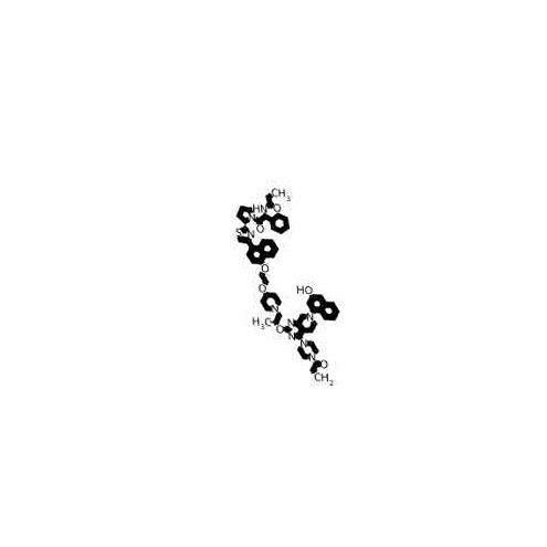 C=CC(=O)N1CCN(c2nc(O[C@H](C)CN3CCC(OCCOc4ccc(-c5csc([C@@H]6CCCN6C(=O)[C@@H](NC(=O)[CH]C)C6CCCCC6)n5)c5ccccc45)CC3)nc3c2CCN(c2cc(O)cc4ccccc24)C3)CC1